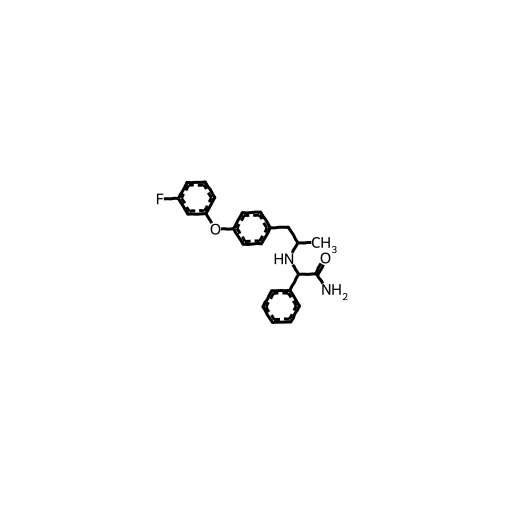 CC(Cc1ccc(Oc2cccc(F)c2)cc1)NC(C(N)=O)c1ccccc1